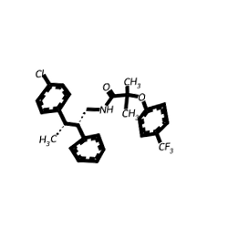 C[C@H](c1ccc(Cl)cc1)[C@H](CNC(=O)C(C)(C)Oc1ccc(C(F)(F)F)cc1)c1ccccc1